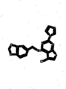 Clc1csc2nc(-n3ccnc3)nc(NCc3ccc4c(c3)OCO4)c12